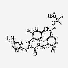 CC(C)(C)[Si](C)(C)OCCc1ccc(Cl)c(SCC(=O)N(Cc2nnc(N)o2)Cc2ccc(C#N)cc2F)c1